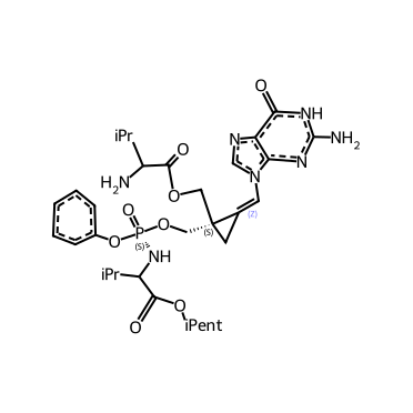 CCCC(C)OC(=O)C(N[P@](=O)(OC[C@@]1(COC(=O)C(N)C(C)C)C/C1=C/n1cnc2c(=O)[nH]c(N)nc21)Oc1ccccc1)C(C)C